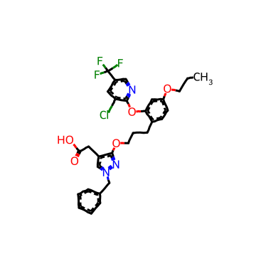 CCCOc1ccc(CCCOc2nn(Cc3ccccc3)cc2CC(=O)O)c(Oc2ncc(C(F)(F)F)cc2Cl)c1